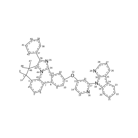 CC1(C)c2cccc3c4ccc(Oc5ccnc(-n6c7ccccc7c7cccnc76)c5)cc4c4nc(-c5ccccc5)c(n4c23)C1(C)C